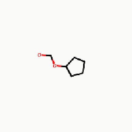 [O]COC1CCCC1